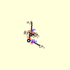 CCCCCCCNC(=O)Nc1ccccc1OC(=O)c1cc(C(C)(C)C)c(OC(=O)NCCCCCCC)c(C(C)(C)C)c1